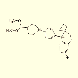 [2H]c1ccc2c(c1)CCC1(CCC1)[C@@H]2c1ccc(N2CCC(C(OC)OC)CC2)cc1